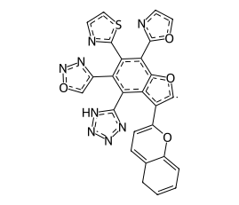 [c]1oc2c(-c3ncco3)c(-c3nccs3)c(-c3conn3)c(-c3nnn[nH]3)c2c1C1=CC=C2CC=CC=C2O1